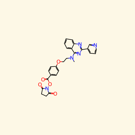 CN(CCOc1ccc(C(=O)ON2C(=O)CCC2=O)cc1)c1nc(-c2cccnc2)nc2ccccc12